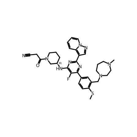 CSc1ccc(-c2nc(-c3cnn4ccccc34)nc(N[C@@H]3CCCN(C(=O)CC#N)C3)c2F)cc1CN1CCCN(C)CC1